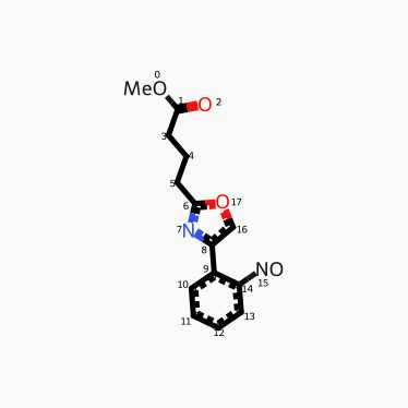 COC(=O)CCCc1nc(-c2ccccc2N=O)co1